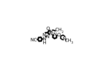 C=CCn1c(=O)c2cnc(Nc3ccc(C#N)cc3)nc2n1-c1cccc(OC2CCN(C)CC2)n1